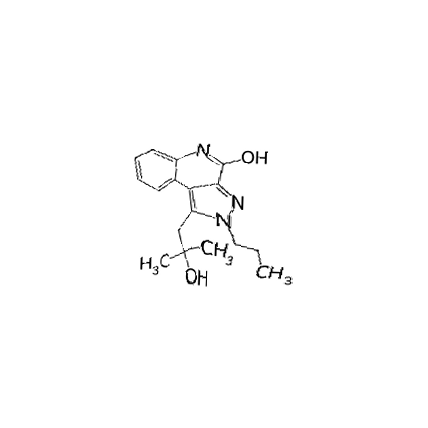 CCCn1nc2c(O)nc3ccccc3c2c1CC(C)(C)O